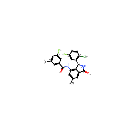 N#Cc1cc(NC(=O)c2cc(F)cc(C(F)(F)F)c2)c2c(c1)C(=O)N[C@@H]2c1cc(F)ccc1Cl